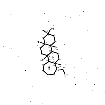 C[C@@]1(O)CC[C@H]2[C@H](CC[C@@H]3[C@@H]2CC[C@]2(C)[C@@H](CO)CCCC[C@@H]32)C1